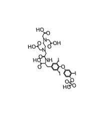 O=C(O)CN(CCN(CC(=O)O)CC(=O)NC(Cc1cc(I)c(Oc2ccc(OS(=O)(=O)O)c(I)c2)c(I)c1)C(=O)O)CC(=O)O